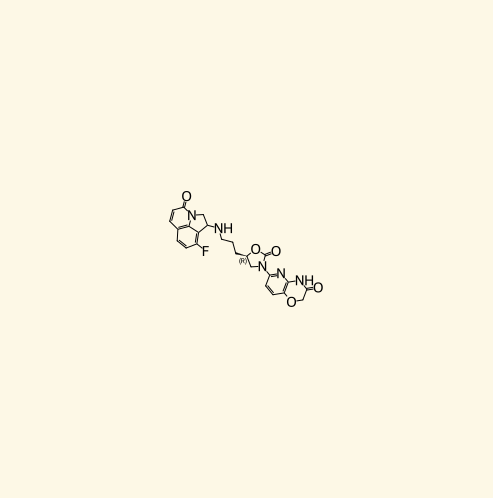 O=C1COc2ccc(N3C[C@@H](CCCNC4Cn5c(=O)ccc6ccc(F)c4c65)OC3=O)nc2N1